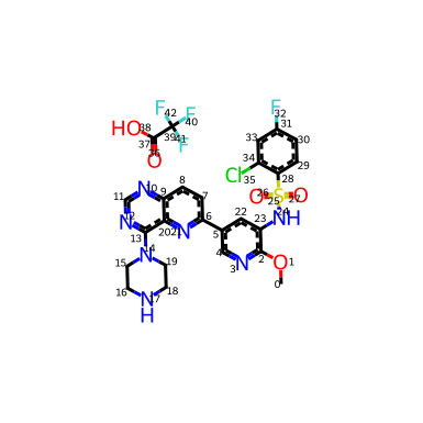 COc1ncc(-c2ccc3ncnc(N4CCNCC4)c3n2)cc1NS(=O)(=O)c1ccc(F)cc1Cl.O=C(O)C(F)(F)F